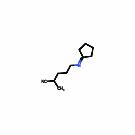 CC(C#N)CCCN=C1CCCC1